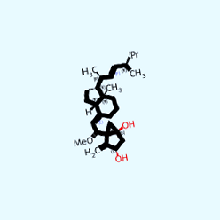 C=C1[C@@H](O)C[C@@]2(O)CC12C(/C=C1\CCC[C@]2(C)[C@@H]([C@H](C)/C=C/[C@H](C)C(C)C)CC[C@@H]12)OC